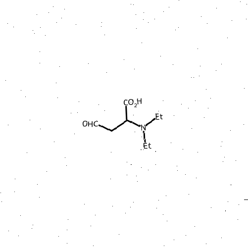 CCN(CC)C(CC=O)C(=O)O